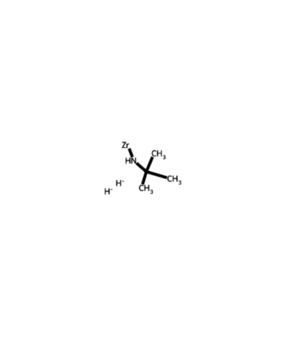 CC(C)(C)[NH][Zr].[H-].[H-]